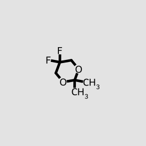 CC1(C)OCC(F)(F)CO1